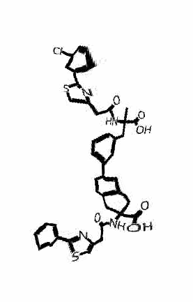 CC(Cc1cccc(-c2ccc3c(c2)CC(NC(=O)Cc2csc(-c4ccccc4)n2)(C(=O)O)C3)c1)(NC(=O)Cc1csc(-c2cccc(Cl)c2)n1)C(=O)O